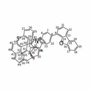 c1ccc(N(c2ccc(-c3cccc4c3oc3ccccc34)cc2)c2cccc3c2C2(c4ccccc4-c4ccccc42)c2c(ccc4ccccc24)S3)cc1